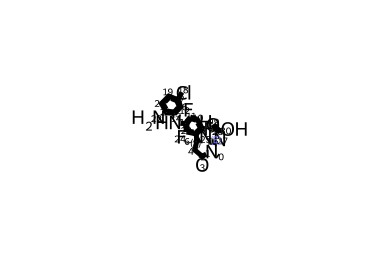 CN1C(=O)C[C@@](C)(c2c(F)cc(F)c(Nc3cc(Cl)ccc3N)c2F)N/C1=N\C(=O)O